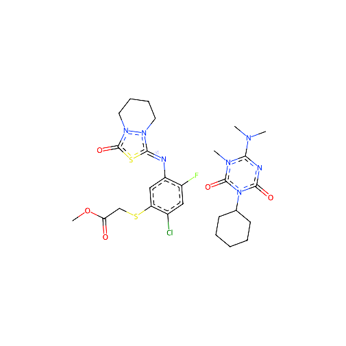 CN(C)c1nc(=O)n(C2CCCCC2)c(=O)n1C.COC(=O)CSc1cc(/N=c2\sc(=O)n3n2CCCC3)c(F)cc1Cl